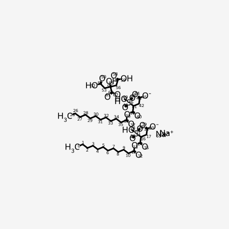 CCCCCCCCCCCC(=O)OC(=O)C(CC(=O)[O-])S(=O)(=O)O.CCCCCCCCCCCC(=O)OC(=O)C(CC(=O)[O-])S(=O)(=O)O.O=C(O)CC(O)(CC(=O)O)C(=O)O.[Na+].[Na+]